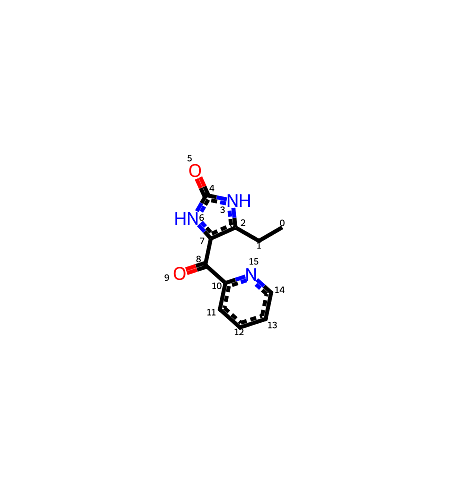 CCc1[nH]c(=O)[nH]c1C(=O)c1ccccn1